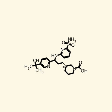 CC(C)(C)c1ccc(C(CC[C@H]2CCCN(C(=O)O)C2)Nc2cccc(S(N)(=O)=O)n2)nc1